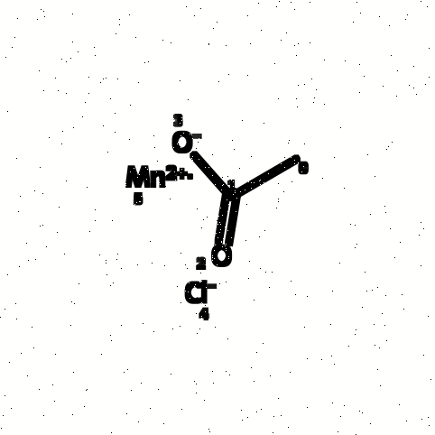 CC(=O)[O-].[Cl-].[Mn+2]